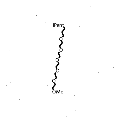 CCCC(C)CCCOCCOCCOCCOCCOCCOC